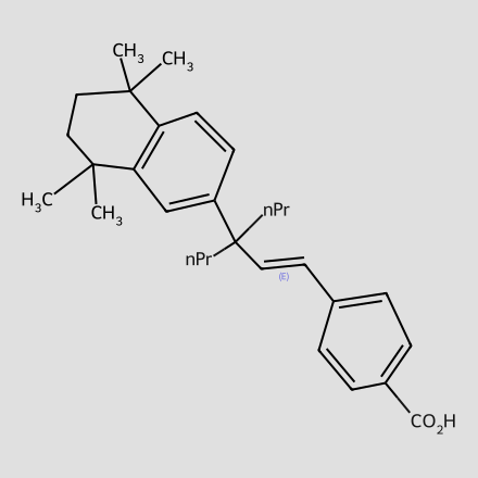 CCCC(/C=C/c1ccc(C(=O)O)cc1)(CCC)c1ccc2c(c1)C(C)(C)CCC2(C)C